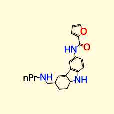 CCCNCC1C=C2c3cc(NC(=O)c4ccco4)ccc3NC2CC1